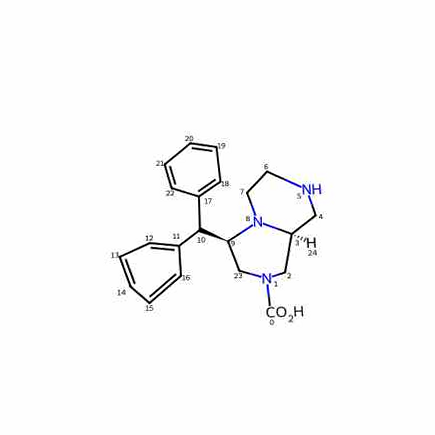 O=C(O)N1C[C@@H]2CNCCN2[C@H](C(c2ccccc2)c2ccccc2)C1